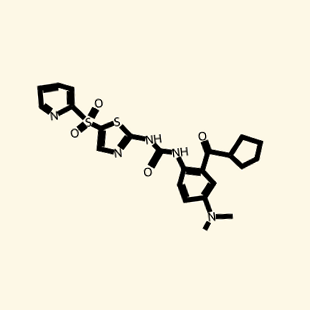 CN(C)c1ccc(NC(=O)Nc2ncc(S(=O)(=O)c3ccccn3)s2)c(C(=O)C2CCCC2)c1